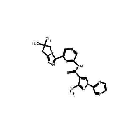 COc1nn(-c2cnccn2)cc1C(=O)Nc1cccc(-c2nnc3n2CC(C)(C)C3)n1